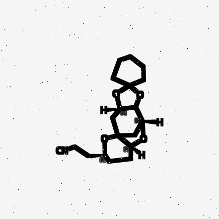 [C-]#[N+]CC[C@H]1CC[C@@H]2O[C@@H]3CC2(C[C@H]2OC4(CCCCC4)OC32)O1